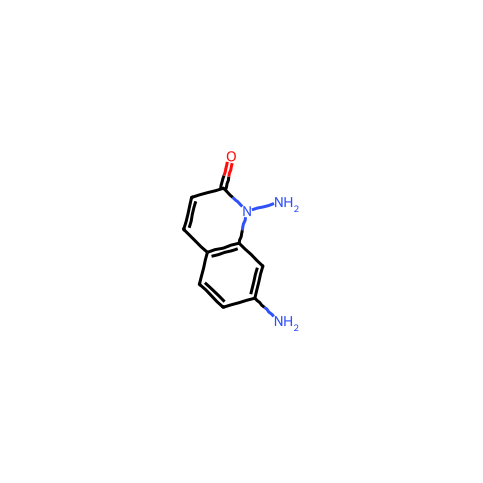 Nc1ccc2ccc(=O)n(N)c2c1